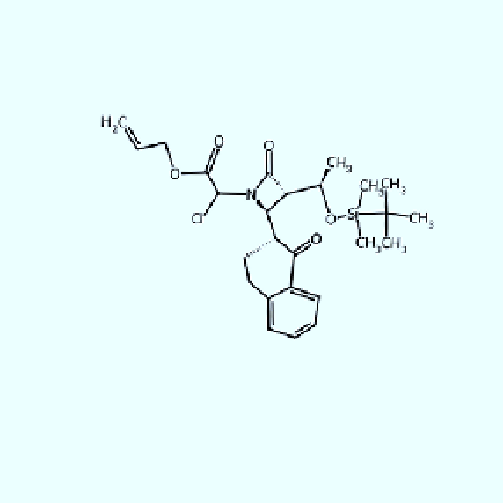 C=CCOC(=O)C(Cl)N1C(=O)[C@H]([C@@H](C)O[Si](C)(C)C(C)(C)C)[C@H]1[C@H]1CCc2ccccc2C1=O